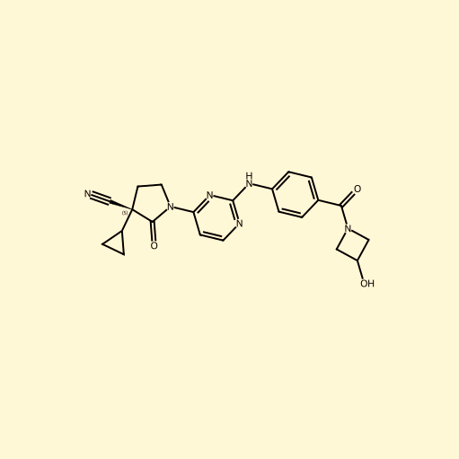 N#C[C@@]1(C2CC2)CCN(c2ccnc(Nc3ccc(C(=O)N4CC(O)C4)cc3)n2)C1=O